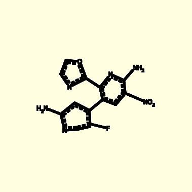 Nc1cc(-c2cc([N+](=O)[O-])c(N)nc2-c2ncco2)c(F)cn1